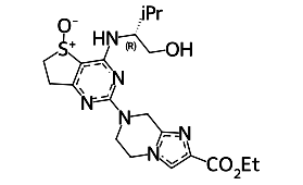 CCOC(=O)c1cn2c(n1)CN(c1nc3c(c(N[C@@H](CO)C(C)C)n1)[S+]([O-])CC3)CC2